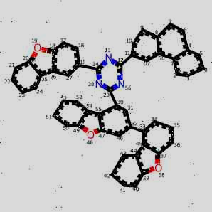 c1ccc2c(c1)ccc1ccc(-c3nc(-c4ccc5oc6ccccc6c5c4)nc(-c4cc(-c5cccc6oc7ccccc7c56)cc5oc6ccccc6c45)n3)cc12